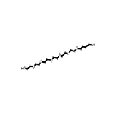 OCCOCCOCCOCCOCCOCCOCCCCS